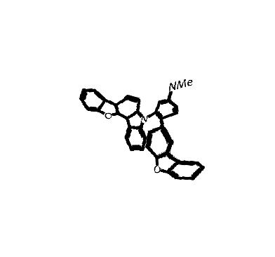 CNc1ccc(C2=CC3c4ccccc4OC3C=C2)c(N2c3ccccc3C3C4Oc5ccccc5C4C=CC32)c1